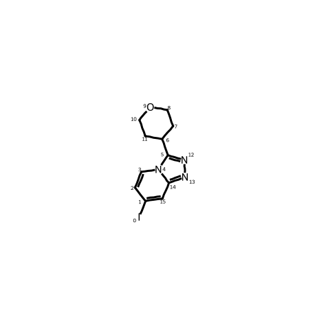 Ic1ccn2c(C3CCOCC3)nnc2c1